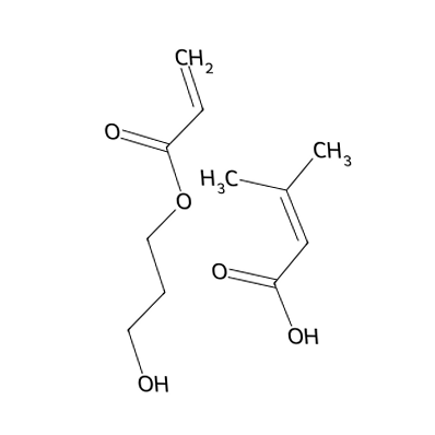 C=CC(=O)OCCCO.CC(C)=CC(=O)O